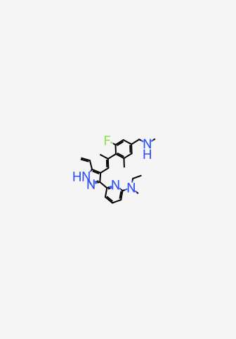 C=Cc1[nH]nc(-c2cccc(N(C)CC)n2)c1/C=C(\C)c1c(C)cc(CNC)cc1F